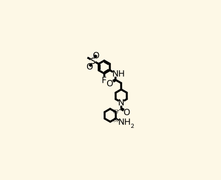 CS(=O)(=O)c1ccc(NC(=O)CC2CCN(C(=O)[C@H]3CCCC[C@@H]3N)CC2)c(F)c1